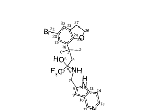 CC(C)(CC(O)(NCc1cc2cnccc2[nH]1)C(F)(F)F)c1cc(Br)cc2c1OCC2